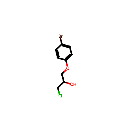 OC(CCl)COc1[c]cc(Br)cc1